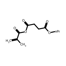 C=C(C)C(=O)OC(=O)CCC(=O)OCCC